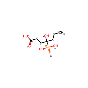 CCCC(O)(CCC(=O)O)P(=O)(O)O